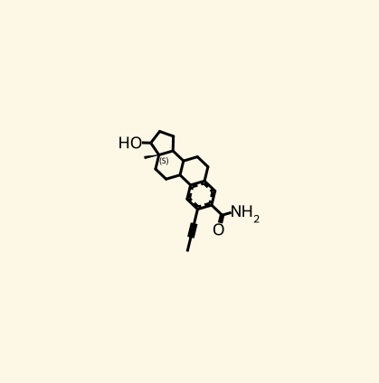 CC#Cc1cc2c(cc1C(N)=O)CCC1C2CC[C@]2(C)C(O)CCC12